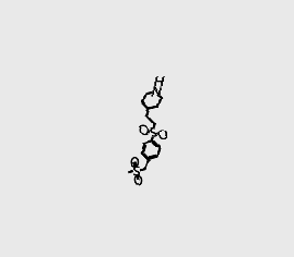 CS(=O)(=O)Cc1ccc(S(=O)(=O)CCC2CCNCC2)cc1